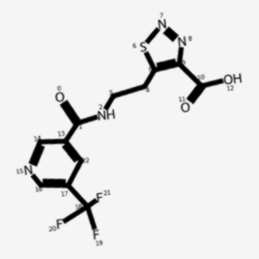 O=C(NCCc1snnc1C(=O)O)c1cncc(C(F)(F)F)c1